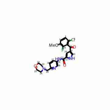 COc1ccc(Cl)c(C(=O)c2c[nH]c(C(=O)Nc3ccc(CN4CCOCC4)nc3)c2)c1F